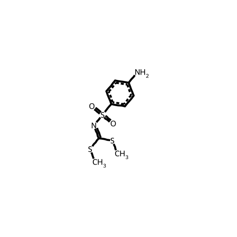 CSC(=NS(=O)(=O)c1ccc(N)cc1)SC